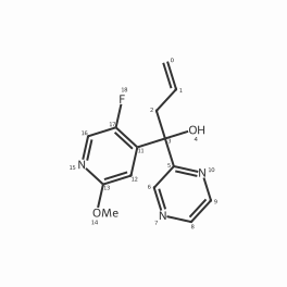 C=CCC(O)(c1cnccn1)c1cc(OC)ncc1F